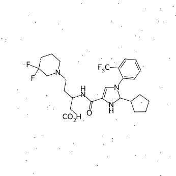 O=C(O)CC(CCN1CCCC(F)(F)C1)NC(=O)C1=CN(c2ccccc2C(F)(F)F)C(C2CCCC2)N1